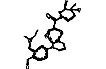 CCN(C)Cc1cc(N2CCCc3cc(C(=O)N4CCC(C)(F)C(C)C4)cnc32)ccc1C=O